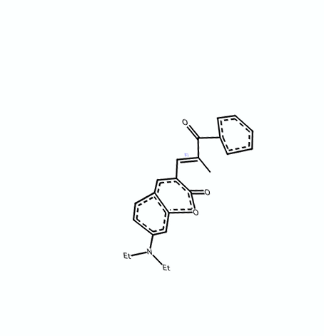 CCN(CC)c1ccc2cc(/C=C(\C)C(=O)c3ccccc3)c(=O)oc2c1